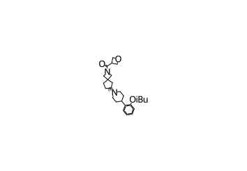 CC(C)COc1ccccc1C1CCN([C@@H]2CCC3(C2)CN(C(=O)C2COC2)C3)CC1